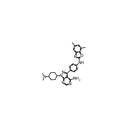 Cc1cc(C)c2oc(Nc3ccc(-c4nn(C5CCC(N(C)C)CC5)c5ncnc(N)c45)cc3)nc2c1